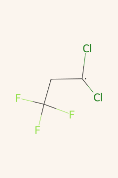 FC(F)(F)C[C](Cl)Cl